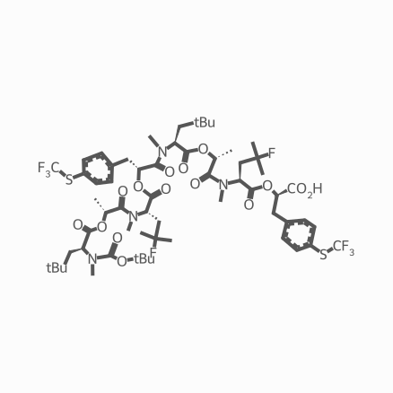 C[C@@H](OC(=O)[C@H](CC(C)(C)C)N(C)C(=O)OC(C)(C)C)C(=O)N(C)[C@@H](CC(C)(C)F)C(=O)O[C@H](Cc1ccc(SC(F)(F)F)cc1)C(=O)N(C)[C@@H](CC(C)(C)C)C(=O)O[C@H](C)C(=O)N(C)[C@@H](CC(C)(C)F)C(=O)O[C@H](Cc1ccc(SC(F)(F)F)cc1)C(=O)O